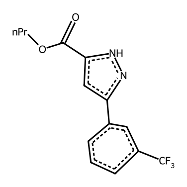 CCCOC(=O)c1cc(-c2cccc(C(F)(F)F)c2)n[nH]1